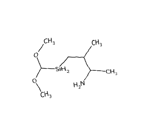 COC(OC)[SiH2]CC(C)C(C)N